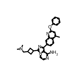 Cc1cc(Oc2ccccc2)nc2cc(-c3nc(C4CC(CN(C)C)C4)n4ccnc(N)c34)ccc12